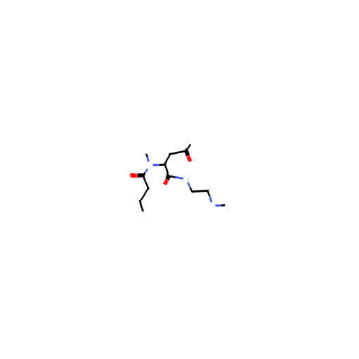 CCCC(=O)N(C)C(CC(C)=O)C(=O)NCCNC